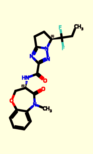 CCC(F)(F)[C@@H]1CCc2nc(C(=O)N[C@H]3COc4ccccc4N(C)C3=O)nn21